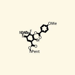 CCCCCOC(=O)C1=CC(=NOC)[C@](F)(OC)C(OC(=O)c2ccc(OC)cc2)=C1Br